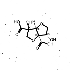 O=C(O)[C@]12OC[C@](O)(C(=O)O)[C@H]1OC[C@@H]2O